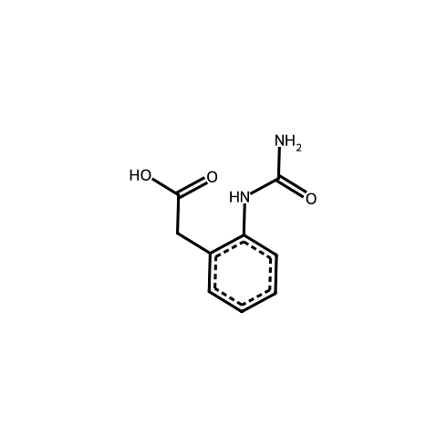 NC(=O)Nc1ccccc1CC(=O)O